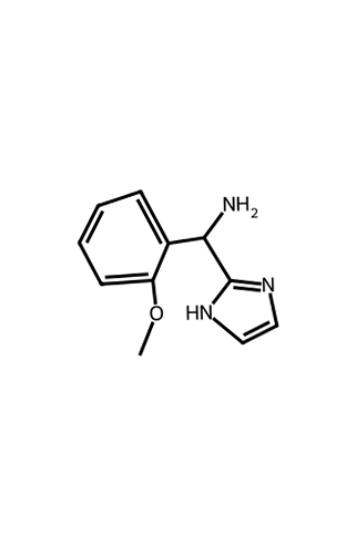 COc1ccccc1C(N)c1ncc[nH]1